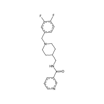 O=C(NCC1CCN(Cc2ccc(F)c(F)c2)CC1)c1cccnc1